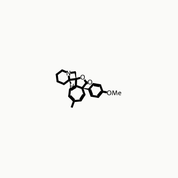 COc1ccc([C@@]23C=CC(C)=CC=C2[C@@]2(CN4CCCC[C@H]42)OC3=O)cc1